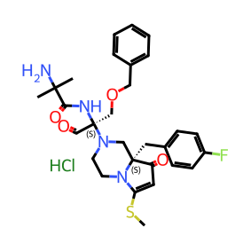 CSC1=CC(=O)[C@]2(Cc3ccc(F)cc3)CN([C@](C=O)(COCc3ccccc3)NC(=O)C(C)(C)N)CCN12.Cl